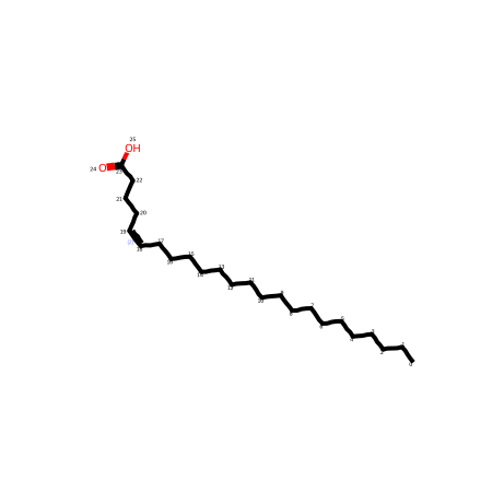 CCCCCCCCCCCCCCCCCC/C=C\CCCC(=O)O